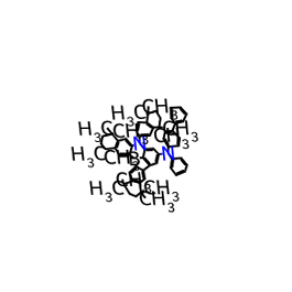 CC1(C)CCC(C)(C)c2cc(N3c4cc5c(cc4B4c6cc7c(cc6-c6cc(N(c8ccccc8)c8ccc(-c9ccccc9)cc8)cc3c64)C(C)(C)CCC7(C)C)C(C)(C)CCC5(C)C)ccc21